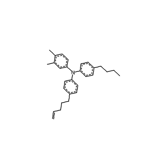 C=CCCCc1ccc(N(c2ccc(CCCC)cc2)c2ccc(C)c(C)c2)cc1